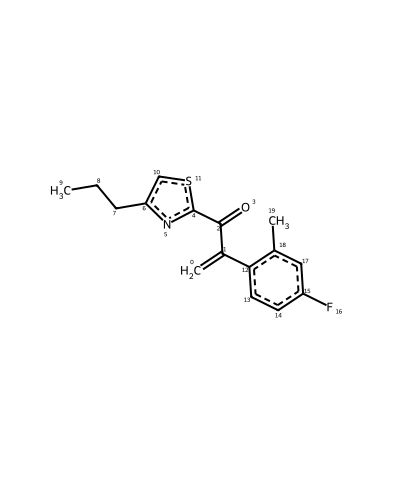 C=C(C(=O)c1nc(CCC)cs1)c1ccc(F)cc1C